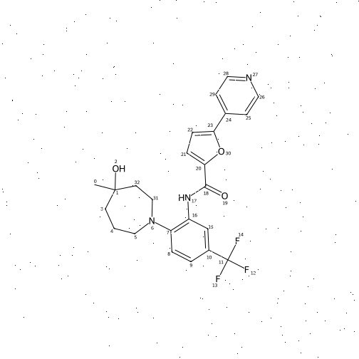 CC1(O)CCCN(c2ccc(C(F)(F)F)cc2NC(=O)c2ccc(-c3ccncc3)o2)CC1